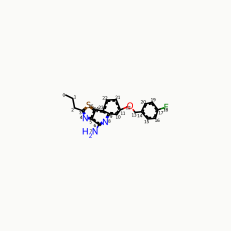 CCCc1nc2c(N)nc3cc(OCc4ccc(F)cc4)ccc3c2s1